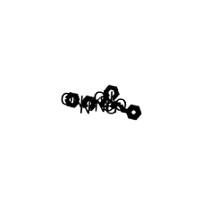 O=C(OCc1ccccc1)[C@@H]1CCCCN1S(=O)(=O)Nc1ccc(N2CCOCC2)nc1